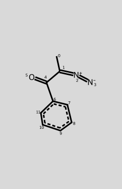 CC(=[N+]=[N-])C(=O)c1ccccc1